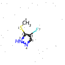 CSc1[nH]ncc1F